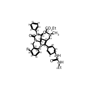 CCNC(=O)Nc1ccc(-c2sc3c(c2CN(C)CC(=O)OCC)c(=O)n(-c2ccccc2)c(=O)n3Cc2c(F)cccc2F)cc1